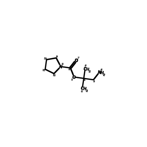 CC(C)(CN)OC(=O)N1CCCC1